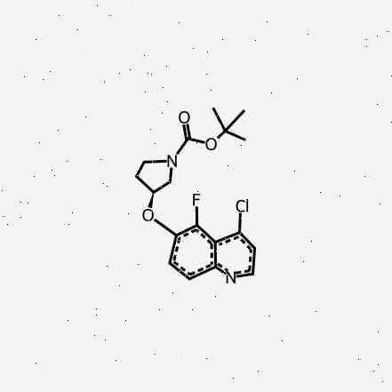 CC(C)(C)OC(=O)N1CC[C@H](Oc2ccc3nccc(Cl)c3c2F)C1